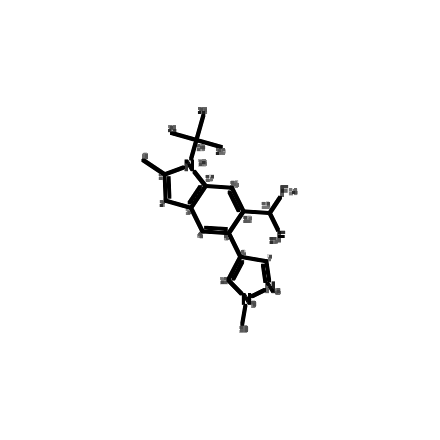 Cc1cc2cc(-c3cnn(C)c3)c(C(F)F)cc2n1C(C)(C)C